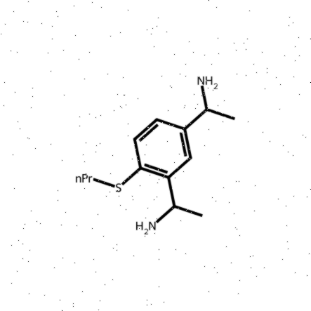 CCCSc1ccc(C(C)N)cc1C(C)N